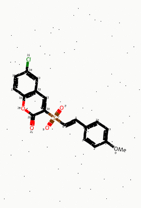 COc1ccc(C=CS(=O)(=O)c2cc3cc(Cl)ccc3oc2=O)cc1